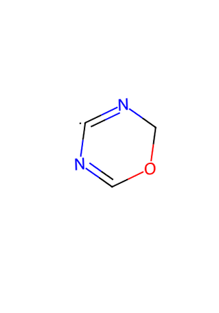 [C]1=NCOC=N1